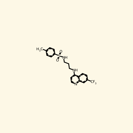 Cc1ccc(S(=O)(=O)NCCCNc2ccnc3cc(C(F)(F)F)ccc23)cc1